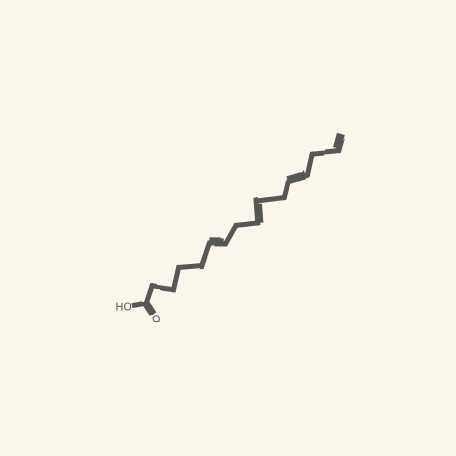 C=CCC=CCC=CCC=CCCCCC(=O)O